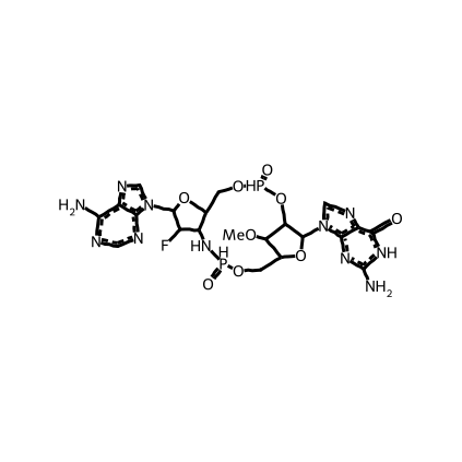 COC1C2CO[PH](=O)NC3C(CO[PH](=O)OC1C(n1cnc4c(=O)[nH]c(N)nc41)O2)OC(n1cnc2c(N)ncnc21)C3F